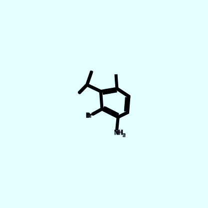 Cc1ccc(N)c(Br)c1C(C)C